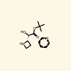 CC(C)(C)OC(=O)C(O)[C@@H]1CCN1.c1ccncc1